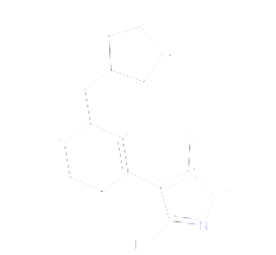 Cc1noc(C)c1C1=CC(CC2CCCC2)CCC1